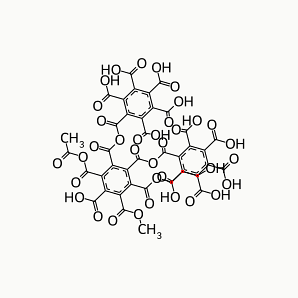 COC(=O)c1c(C(=O)O)c(C(=O)OC(C)=O)c(C(=O)OC(=O)c2c(C(=O)O)c(C(=O)O)c(C(=O)O)c(C(=O)O)c2C(=O)O)c(C(=O)OC(=O)c2c(C(=O)O)c(C(=O)O)c(C(=O)O)c(C(=O)O)c2C(=O)O)c1C(=O)OCCCO